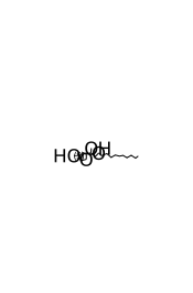 CCCCCCCCCCOCC(O)C1C[C@H](O)CO1